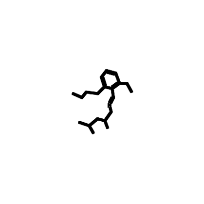 CCCCc1cccc(CC)c1C=NCC(C)CC(C)C